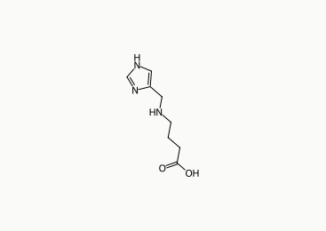 O=C(O)CCCNCc1c[nH]cn1